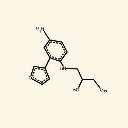 Nc1ccc(NCC(O)CO)c(-c2ccoc2)c1